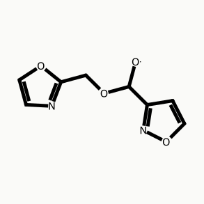 [O]C(OCc1ncco1)c1ccon1